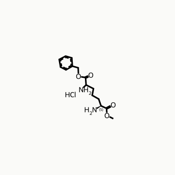 COC(=O)[C@@H](N)CCCC(N)C(=O)OCc1ccccc1.Cl